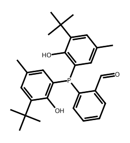 Cc1cc(P(c2ccccc2C=O)c2cc(C)cc(C(C)(C)C)c2O)c(O)c(C(C)(C)C)c1